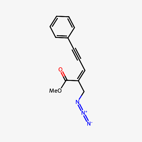 COC(=O)C(=CC#Cc1ccccc1)CN=[N+]=[N-]